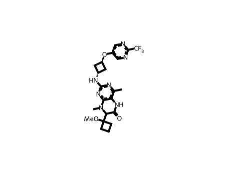 COC1(C2C(=O)Nc3c(C)nc(N[C@H]4C[C@H](Oc5cnc(C(F)(F)F)nc5)C4)nc3N2C)CCC1